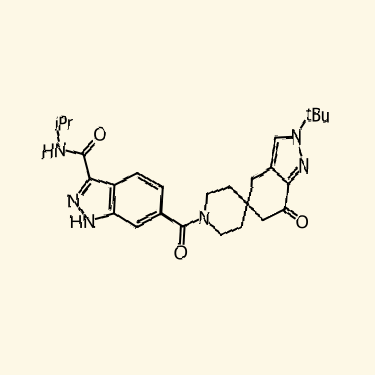 CC(C)NC(=O)c1n[nH]c2cc(C(=O)N3CCC4(CC3)CC(=O)c3nn(C(C)(C)C)cc3C4)ccc12